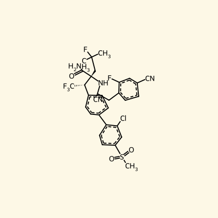 CC(C)(F)C[C@](NC(C#N)Cc1ccc(C#N)cc1F)(C(N)=O)[C@H](c1ccc(-c2ccc(S(C)(=O)=O)cc2Cl)cc1)C(F)(F)F